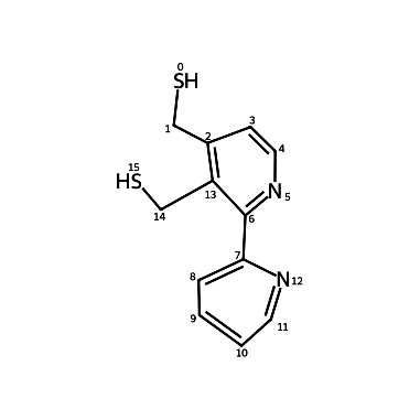 SCc1ccnc(-c2ccccn2)c1CS